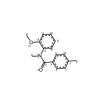 [CH2]c1ccc(C(=O)N(C)c2ccccc2OC)cc1